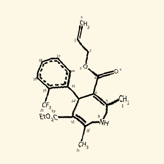 C=CCOC(=O)C1=C(C)NC(C)=C(C(=O)OCC)C1c1ccccc1C(F)(F)F